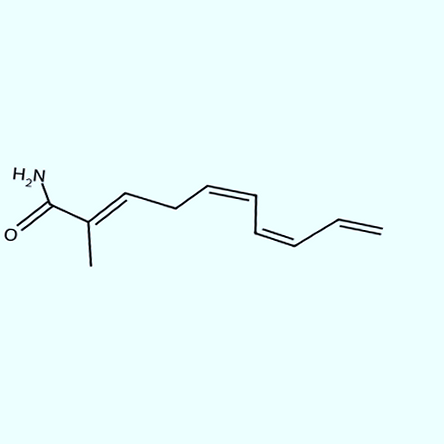 C=C/C=C\C=C/C/C=C(\C)C(N)=O